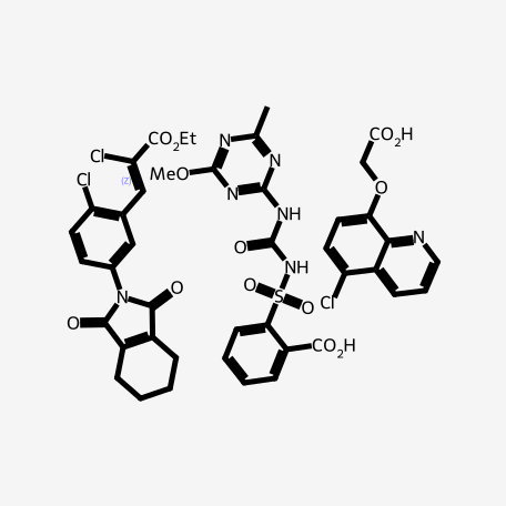 CCOC(=O)/C(Cl)=C/c1cc(N2C(=O)C3=C(CCCC3)C2=O)ccc1Cl.COc1nc(C)nc(NC(=O)NS(=O)(=O)c2ccccc2C(=O)O)n1.O=C(O)COc1ccc(Cl)c2cccnc12